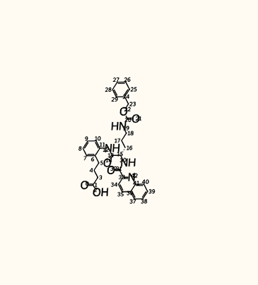 O=C(O)CCCc1ccccc1NC(=O)[C@H](CCCNC(=O)OCc1ccccc1)NC(=O)c1ccc2ccccc2n1